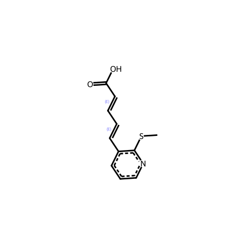 CSc1ncccc1/C=C/C=C/C(=O)O